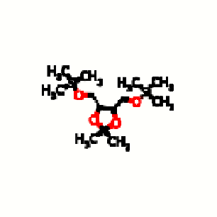 CC1(C)O[C@H](CO[Si](C)(C)C)[C@@H](CO[Si](C)(C)C)O1